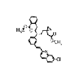 COC(=O)CC1(CC[C@@H](CCc2ccccc2C(=O)OC)c2cccc(/C=C/c3ccc4ccc(Cl)cc4n3)c2)CC1